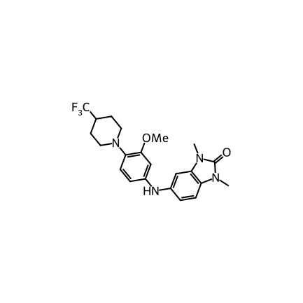 COc1cc(Nc2ccc3c(c2)n(C)c(=O)n3C)ccc1N1CCC(C(F)(F)F)CC1